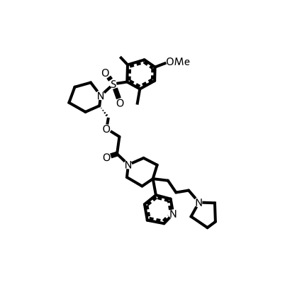 COc1cc(C)c(S(=O)(=O)N2CCCC[C@H]2COCC(=O)N2CCC(CCCN3CCCC3)(c3cccnc3)CC2)c(C)c1